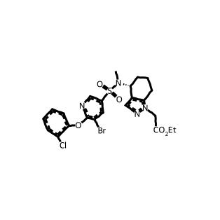 CCOC(=O)Cn1ncc2c1CCC[C@H]2N(C)S(=O)(=O)c1cnc(Oc2ccccc2Cl)c(Br)c1